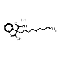 CCCCCCCCCC(C(=O)O)(C(=O)O)c1ccccc1.[LiH]